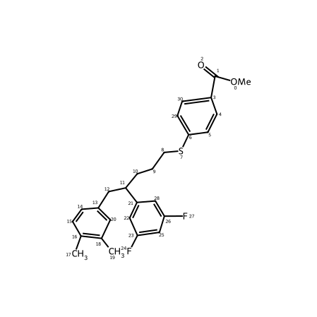 COC(=O)c1ccc(SCCCC(Cc2ccc(C)c(C)c2)c2cc(F)cc(F)c2)cc1